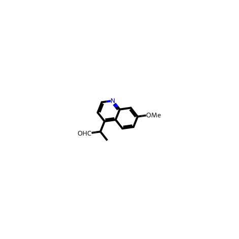 COc1ccc2c(C(C)C=O)ccnc2c1